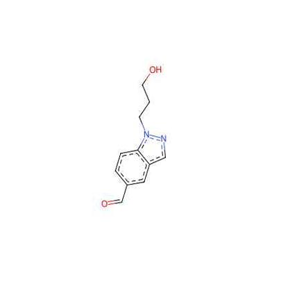 O=Cc1ccc2c(cnn2CCCO)c1